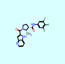 C[C@H]1[C@@H](C(=O)Nc2cc(F)c(F)c(F)c2)CCN1C(=O)c1cc2ncccc2[nH]1